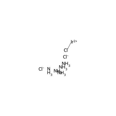 N.N.N.N.N.[Cl-].[Cl-].[Cl][Ir+2]